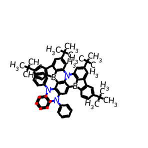 CC(C)(C)c1ccc2c(c1)-c1cc(C(C)(C)C)cc3c1B2c1cc(N(c2ccccc2)c2ccccc2)c(N(c2ccccc2)c2ccccc2)c2c1N3c1cc(C(C)(C)C)cc3c1B2c1ccc(C(C)(C)C)cc1-3